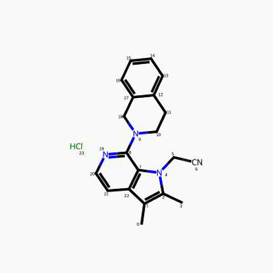 Cc1c(C)n(CC#N)c2c(N3CCc4ccccc4C3)nccc12.Cl